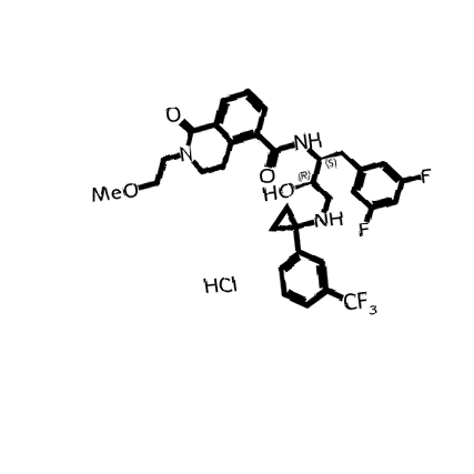 COCCN1CCc2c(C(=O)N[C@@H](Cc3cc(F)cc(F)c3)[C@H](O)CNC3(c4cccc(C(F)(F)F)c4)CC3)cccc2C1=O.Cl